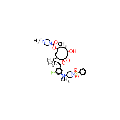 C/C(=C\c1cc(F)cc(N(C)C2CCN(S(=O)(=O)c3ccccc3)CC2)c1)[C@H]1C(=O)C(=O)C[C@H](O)CC[C@H](C)[C@@H](OC(=O)N2CCN(C)CC2)/C=C/[C@@H]1C